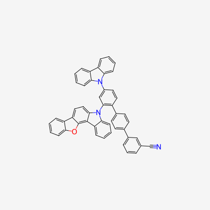 N#Cc1cccc(-c2ccc(-c3ccc(-n4c5ccccc5c5ccccc54)cc3-n3c4ccccc4c4c5oc6ccccc6c5ccc43)cc2)c1